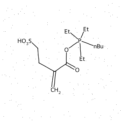 C=C(CCS(=O)(=O)O)C(=O)OP(CC)(CC)(CC)CCCC